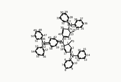 CC1C=C(N(c2ccccc2)c2ccccc2)C=CC1N(C1=CC(C)C(N(c2ccccc2)c2ccccc2)C=C1)c1ccc(N(c2ccccc2)c2ccccc2)cc1